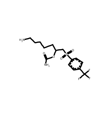 NCCCCCC(CS(=O)(=O)c1ccc(C(F)(F)F)cc1)OC(N)=O